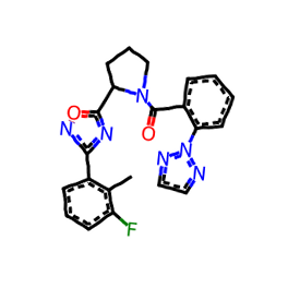 Cc1c(F)cccc1-c1noc(C2CCCN2C(=O)c2ccccc2-n2nccn2)n1